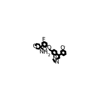 COc1cccc(-c2cc3nccn3c3cc(COc4cc(F)cc(C5(C(N)=O)CCOCC5)c4)ccc23)c1